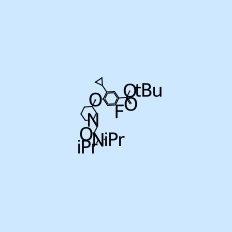 CC(C)N(C(=O)CN1CCC[C@@H](Oc2cc(F)c(C(=O)OC(C)(C)C)cc2C2CC2)C1)C(C)C